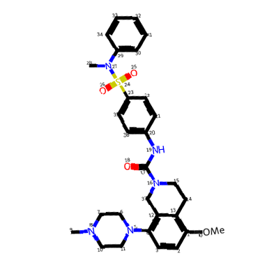 COc1ccc(N2CCN(C)CC2)c2c1CCN(C(=O)Nc1ccc(S(=O)(=O)N(C)c3ccccc3)cc1)C2